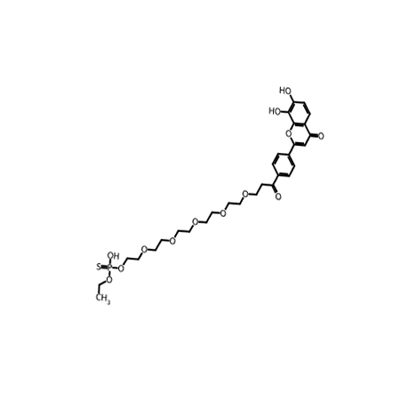 CCOP(O)(=S)OCCOCCOCCOCCOCCOCCC(=O)c1ccc(-c2cc(=O)c3ccc(O)c(O)c3o2)cc1